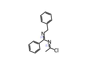 C/C(Cl)=N\C(=N/Cc1ccccc1)c1ccccc1